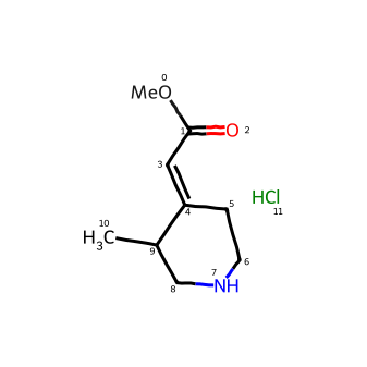 COC(=O)/C=C1\CCNCC1C.Cl